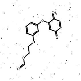 C=C1C=CC(=O)C=C1Oc1cccc(OCCOC=O)c1